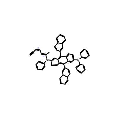 C#C/C=C\C=C(/C)N(c1ccccc1)c1ccc2c(C3=CC4C=CC=CC4C=C3)c3cc(N(c4ccccc4)c4ccccc4)ccc3c(-c3ccc4ccccc4c3)c2c1